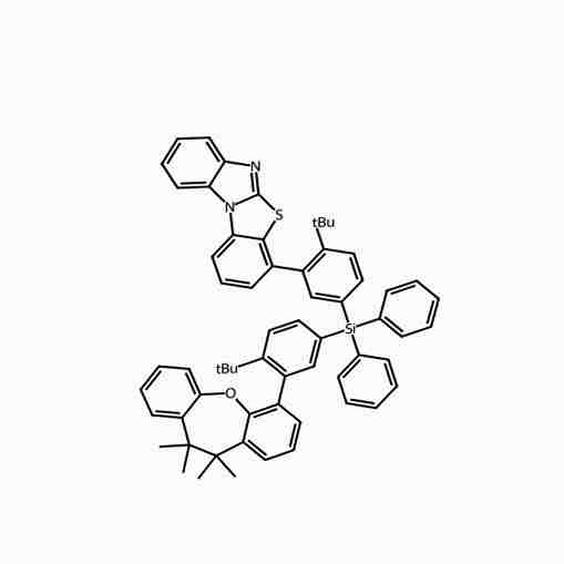 CC(C)(C)c1ccc([Si](c2ccccc2)(c2ccccc2)c2ccc(C(C)(C)C)c(-c3cccc4c3sc3nc5ccccc5n34)c2)cc1-c1cccc2c1Oc1ccccc1C(C)(C)C2(C)C